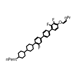 CCC/C=C\Oc1ccc(-c2ccc(-c3ccc(C4CCC(C5CCC(CCCCC)CC5)CC4)c(F)c3)cc2)c(F)c1F